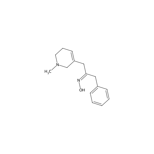 CN1CCC=C(CC(Cc2ccccc2)=NO)C1